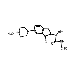 CCCC(C(=O)NC=O)N1Cc2ccc(N3CCN(C)CC3)cc2C1=O